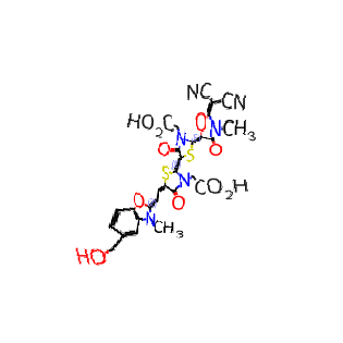 CN1/C(=C/C=c2s/c(=c3/s/c(=c4/oc(=C(C#N)C#N)n(C)c4=O)n(CC(=O)O)c3=O)n(CC(=O)O)c2=O)Oc2ccc(CO)cc21